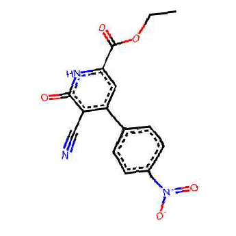 CCOC(=O)c1cc(-c2ccc([N+](=O)[O-])cc2)c(C#N)c(=O)[nH]1